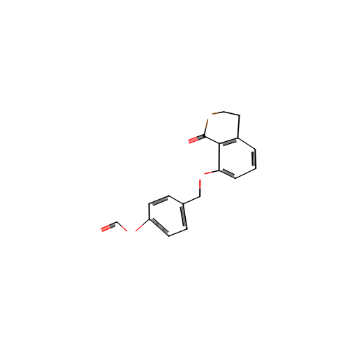 O=COc1ccc(COc2cccc3c2C(=O)SCC3)cc1